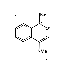 CNC(=O)c1ccccc1[S+]([O-])C(C)(C)C